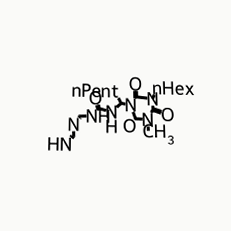 CCCCCCn1c(=O)n(C)c(=O)n(C(CCCCC)NC(=O)N/C=N\C=N)c1=O